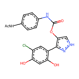 CC(=O)Nc1ccc(NC(=O)Oc2c[nH]nc2-c2cc(Cl)c(O)cc2O)cc1